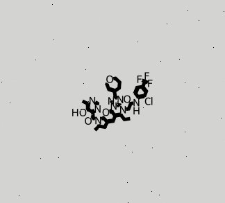 CCc1c(C=C2CC(C)N(C(=O)c3ncnc(C)c3O)C2)c(=O)n2nc(C3=CCOCCC3)nc2n1CC(=O)Nc1ccc(C(F)(F)F)cc1Cl